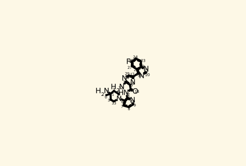 CC1(N)CCN(c2cccnc2NC(=O)c2nc(-c3ncnc4ccc(F)cc34)cnc2N)CC1